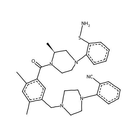 Cc1cc(C)c(C(=O)N2CCN(c3ccccc3SN)C[C@@H]2C)cc1CN1CCN(c2ccccc2C#N)CC1